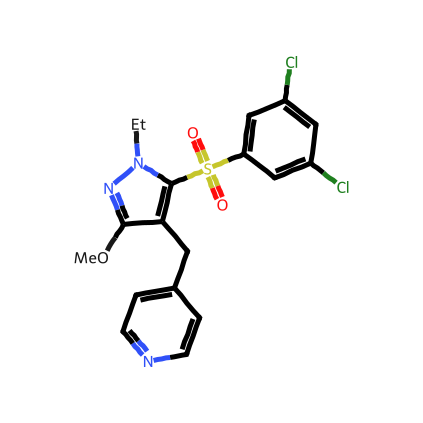 CCn1nc(OC)c(Cc2ccncc2)c1S(=O)(=O)c1cc(Cl)cc(Cl)c1